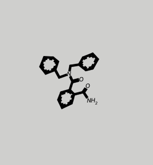 NC(=O)c1ccccc1C(=O)N(Cc1ccccc1)Cc1ccccc1